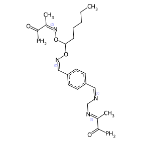 CCCCCC(O/N=C\c1ccc(/C=N\C/N=C(\C)C(=O)P)cc1)O/N=C(/C)C(=O)P